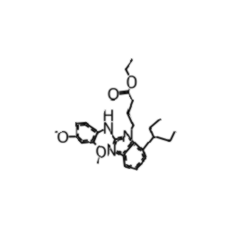 CCOC(=O)CCCn1c(Nc2ccc(OC)cc2OC)nc2cccc(C(CC)CC)c21